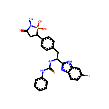 CC(C)(C)N1C(=O)CC(c2ccc(C[C@H](NC(=S)Nc3ccccc3)c3nc4ccc(Cl)cc4[nH]3)cc2)S1(O)O